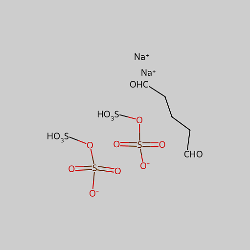 O=CCCCC=O.O=S(=O)([O-])OS(=O)(=O)O.O=S(=O)([O-])OS(=O)(=O)O.[Na+].[Na+]